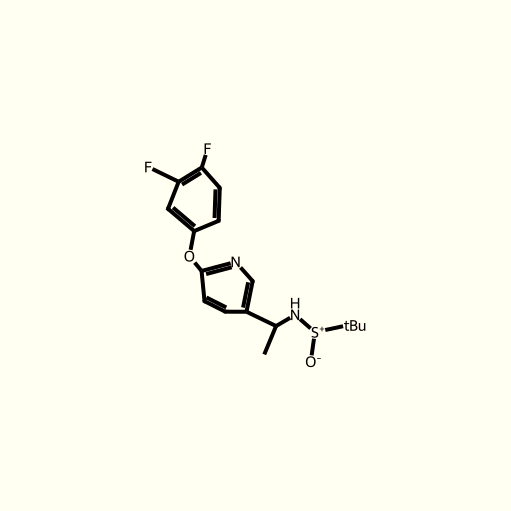 CC(N[S+]([O-])C(C)(C)C)c1ccc(Oc2ccc(F)c(F)c2)nc1